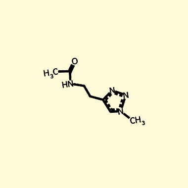 CC(=O)NCCc1cn(C)nn1